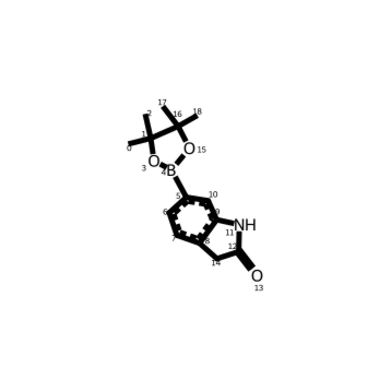 CC1(C)OB(c2ccc3c(c2)NC(=O)C3)OC1(C)C